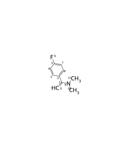 [CH]=C(c1ccc(F)cc1)N(C)C